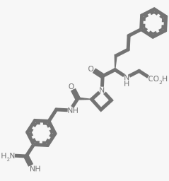 N=C(N)c1ccc(CNC(=O)[C@@H]2CCN2C(=O)[C@@H](CCCc2ccccc2)NCC(=O)O)cc1